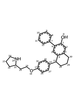 Oc1cc2c(cc1-c1ccccc1)C(c1ccc(OCCC3CCCN3)cc1)CCC2